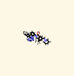 C[C@H]1CCCN(Cc2cc3c(c(C(F)(F)F)c2)CN(c2cccc(C4(c5nncn5C)CC(CC#N)C4)c2)C3=O)C1